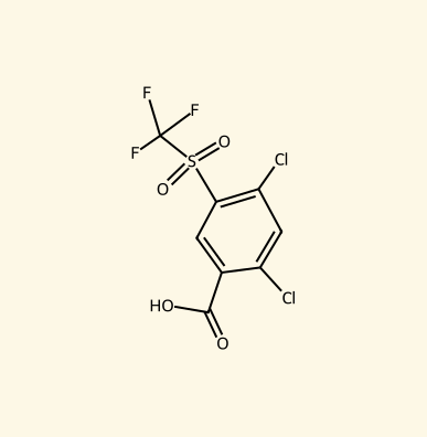 O=C(O)c1cc(S(=O)(=O)C(F)(F)F)c(Cl)cc1Cl